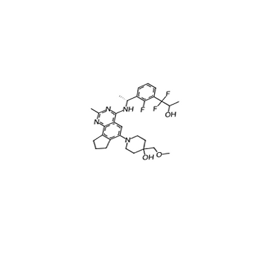 COCC1(O)CCN(c2cc3c(N[C@H](C)c4cccc(C(F)(F)C(C)O)c4F)nc(C)nc3c3c2CCC3)CC1